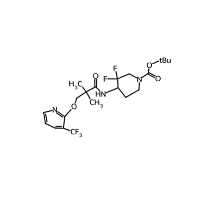 CC(C)(C)OC(=O)N1CCC(NC(=O)C(C)(C)COc2ncccc2C(F)(F)F)C(F)(F)C1